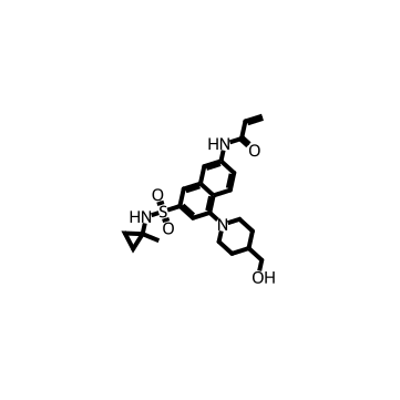 C=CC(=O)Nc1ccc2c(N3CCC(CO)CC3)cc(S(=O)(=O)NC3(C)CC3)cc2c1